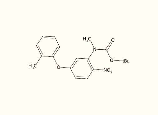 Cc1ccccc1Oc1ccc([N+](=O)[O-])c(N(C)C(=O)OC(C)(C)C)c1